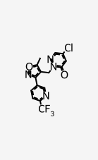 Cc1onc(-c2ccc(C(F)(F)F)nc2)c1Cn1ncc(Cl)cc1=O